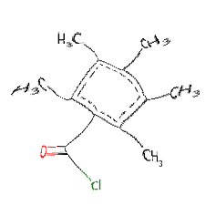 Cc1c(C)c(C)c(C(=O)Cl)c(C)c1C